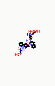 CC1CC(NC(=O)CC(C)(C)NC[C@H](O)CO)C(=O)N(Cc2ccc(-c3ccccc3NC(=O)NCCO)cc2)c2ccccc21